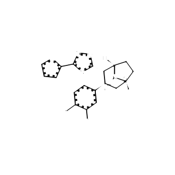 CN1[C@@H]2CC[C@H]1[C@@H](c1nc(-c3cccs3)no1)[C@H](c1ccc(Cl)c(Cl)c1)C2